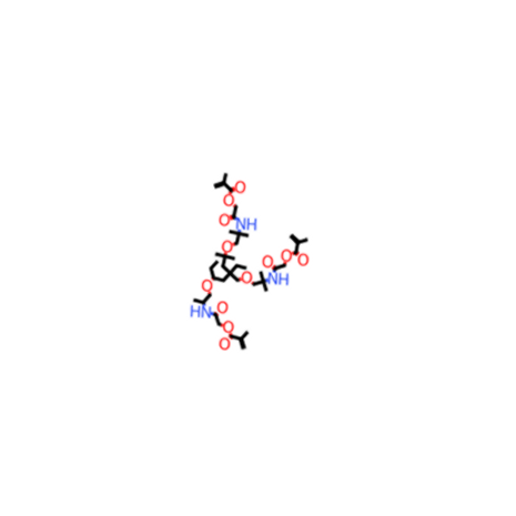 C=C(C)C(=O)OCC(=O)NC(C)COC(CC)CC(CC)(COCC(C)(C)NC(=O)COC(=O)C(=C)C)CC(C)(C)OCC(C)(C)NC(=O)COC(=O)C(=C)C